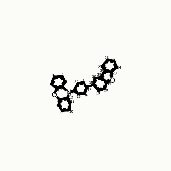 c1ccc2c(c1)Oc1ccccc1N2c1ccc(-c2ccc3oc4ccccc4c3c2)cc1